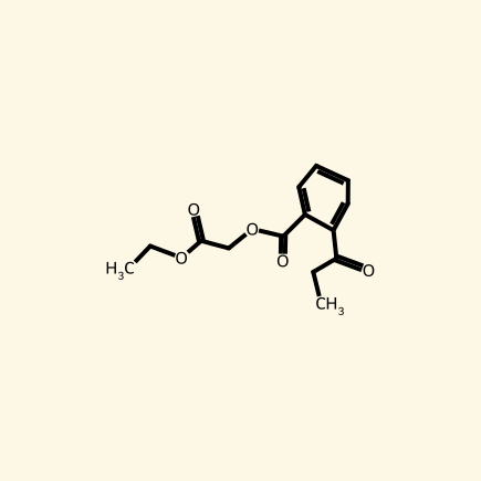 CCOC(=O)COC(=O)c1ccccc1C(=O)CC